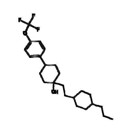 CCCC1CCC(CCC2(O)CCC(c3ccc(OC(F)(F)F)cc3)CC2)CC1